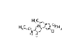 CCOC(=O)C1=CN2C(C)Cc3cc(OC)c(Cl)cc3C2CC1=O